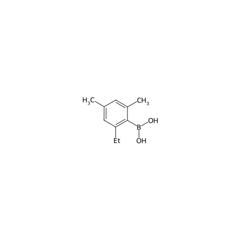 CCc1cc(C)cc(C)c1B(O)O